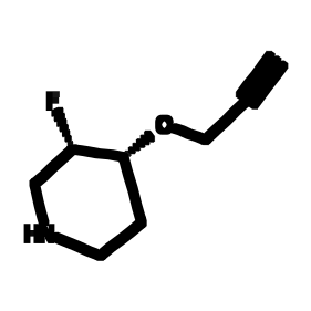 C#CCO[C@@H]1CCNC[C@@H]1F